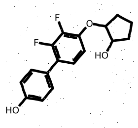 Oc1ccc(-c2ccc(OC3CCCC3O)c(F)c2F)cc1